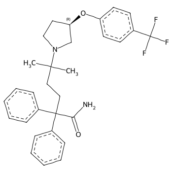 CC(C)(CCC(C(N)=O)(c1ccccc1)c1ccccc1)N1CC[C@@H](Oc2ccc(C(F)(F)F)cc2)C1